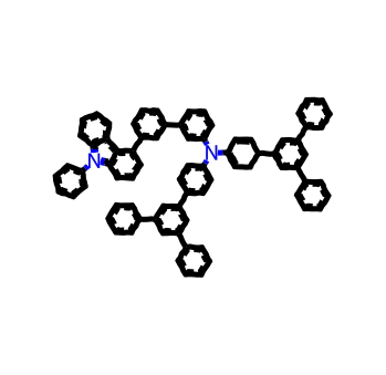 C1=CC(c2cc(-c3ccccc3)cc(-c3ccccc3)c2)CC=C1N(c1ccc(-c2cc(-c3ccccc3)cc(-c3ccccc3)c2)cc1)c1cccc(-c2cccc(-c3cccc4c3c3ccccc3n4-c3ccccc3)c2)c1